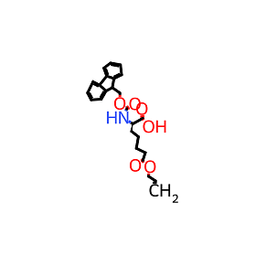 C=CCOC(=O)CCCC[C@@H](NC(=O)OCC1c2ccccc2-c2ccccc21)C(=O)O